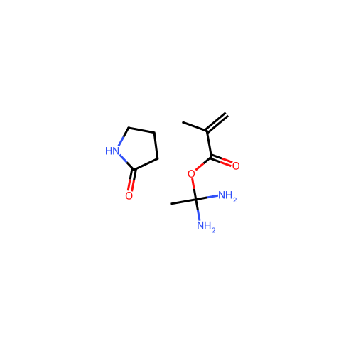 C=C(C)C(=O)OC(C)(N)N.O=C1CCCN1